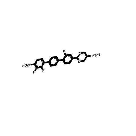 CCCCCCCCCCc1ccc(-c2ccc(-c3ccc(C4OCC(CCCCC)CO4)cc3F)cc2)c(F)c1F